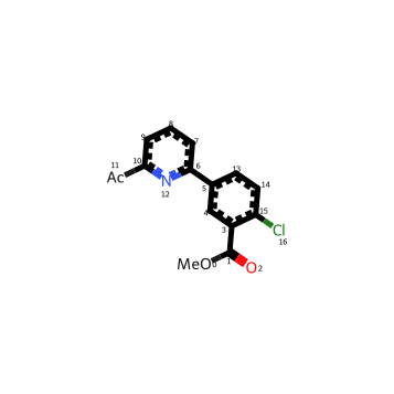 COC(=O)c1cc(-c2cccc(C(C)=O)n2)ccc1Cl